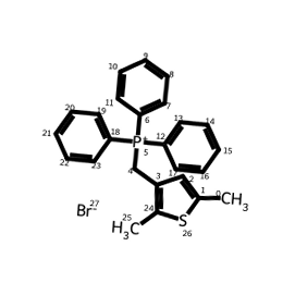 Cc1cc(C[P+](c2ccccc2)(c2ccccc2)c2ccccc2)c(C)s1.[Br-]